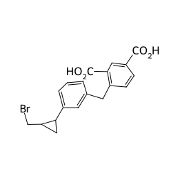 O=C(O)c1ccc(Cc2cccc(C3CC3CBr)c2)c(C(=O)O)c1